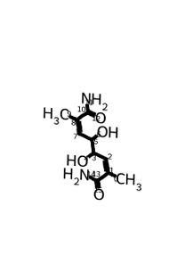 CC(=CC(O)C(O)C=C(C)C(N)=O)C(N)=O